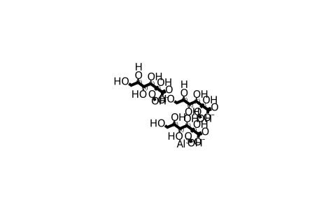 O=C([O-])[C@](O)(OO)[C@@H](O)[C@H](O)[C@H](O)CO.O=C([O-])[C@](O)(OO)[C@@H](O)[C@H](O)[C@H](O)CO.O=C([O-])[C@](O)(OO)[C@@H](O)[C@H](O)[C@H](O)CO.[Al+3]